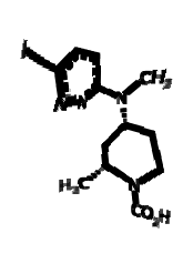 C[C@@H]1C[C@H](N(C)c2ccc(I)nn2)CCN1C(=O)O